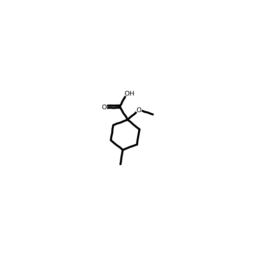 COC1(C(=O)O)CCC(C)CC1